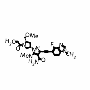 C=CC(=O)N1C[C@@H](n2nc(C#Cc3ccc4c(ncn4C)c3F)c(C(N)=O)c2NC)C[C@@H]1COC